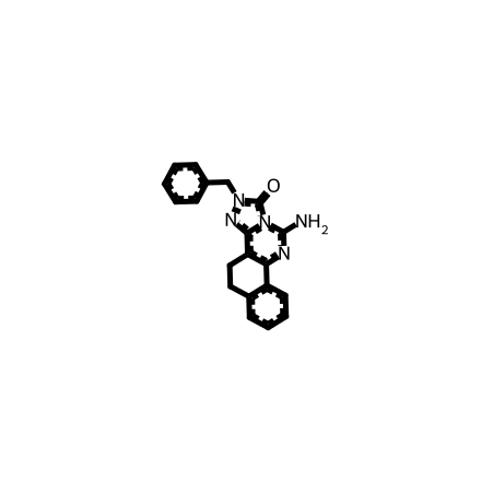 Nc1nc2c(c3nn(Cc4ccccc4)c(=O)n13)CCc1ccccc1-2